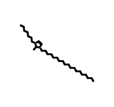 CCCCCCCCCCCCCCCCCCCN1C=CN(CCCCCCC)C1C